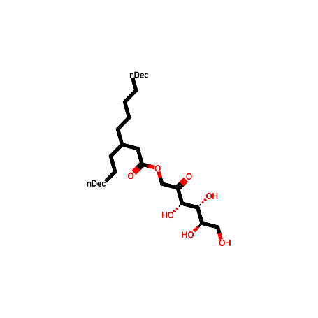 CCCCCCCCCCCCCCC(CCCCCCCCCCCC)CC(=O)OCC(=O)[C@@H](O)[C@H](O)[C@H](O)CO